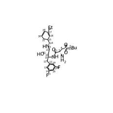 CCCCS(=O)(=O)C[C@H](N)C(=O)N[C@@H](Cc1cc(F)cc(F)c1)[C@H](O)CNCC1C=C(CC)C=CC1